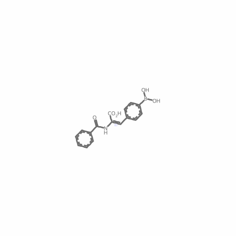 O=C(O)/C(=C\c1ccc(B(O)O)cc1)NC(=O)c1ccccc1